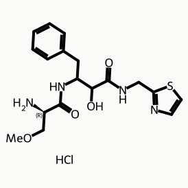 COC[C@@H](N)C(=O)NC(Cc1ccccc1)C(O)C(=O)NCc1nccs1.Cl